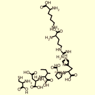 CCC(C)C(N)C(=O)O.N=C(N)NCCCC(N)C(=O)O.NC(CC(=O)O)C(=O)O.NC(CS)C(=O)O.NC(Cc1c[nH]cn1)C(=O)O.NCCCCC(N)C(=O)O.O=C(O)[C@@H]1CCCN1